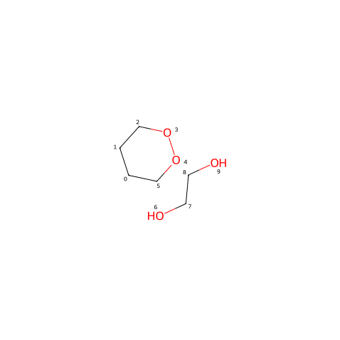 C1CCOOC1.OCCO